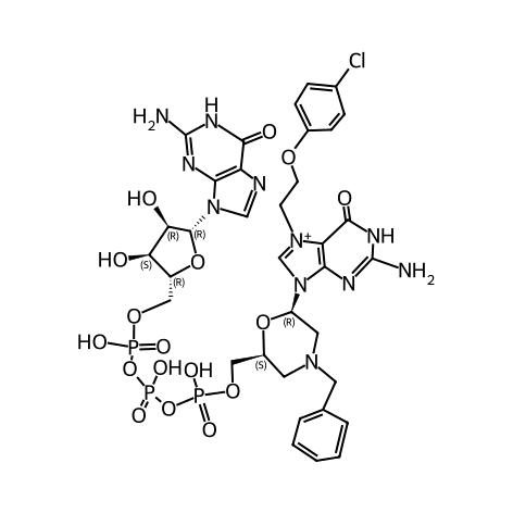 Nc1nc2c(ncn2[C@@H]2O[C@H](COP(=O)(O)OP(=O)(O)OP(=O)(O)OC[C@@H]3CN(Cc4ccccc4)C[C@H](n4c[n+](CCOc5ccc(Cl)cc5)c5c(=O)[nH]c(N)nc54)O3)[C@@H](O)[C@H]2O)c(=O)[nH]1